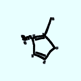 CC1=CC=CC1.[Sm]